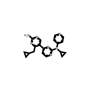 Nc1ncc(-c2ccnc(N(c3ccncc3)C3CC3)n2)c(CC2CC2)n1